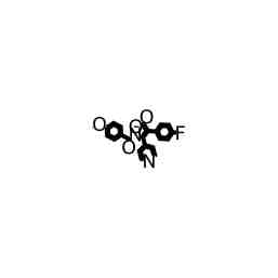 COc1ccc(C(=O)n2oc(=O)c(-c3ccc(F)cc3)c2-c2ccncc2)cc1